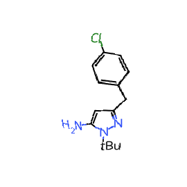 CC(C)(C)n1nc(Cc2ccc(Cl)cc2)cc1N